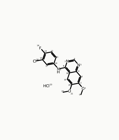 COc1cc2ncnc(Nc3ccc(F)c(Cl)c3)c2cc1OC.Cl